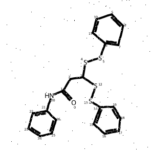 O=C(CC(SSc1ccccc1)SSc1ccccc1)Nc1ccccc1